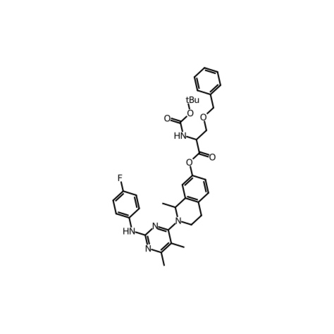 Cc1nc(Nc2ccc(F)cc2)nc(N2CCc3ccc(OC(=O)C(COCc4ccccc4)NC(=O)OC(C)(C)C)cc3C2C)c1C